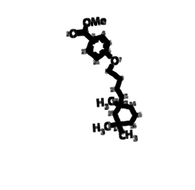 COC(=O)c1ccc(OCCCCC2(C)CCCC(C)(C)C2)cc1